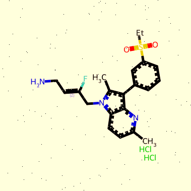 CCS(=O)(=O)c1cccc(-c2c(C)n(C/C(F)=C/CN)c3ccc(C)nc23)c1.Cl.Cl